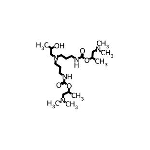 CC(O)CN(CCCNC(=O)OC(C)CN(C)C)CCCNC(=O)OC(C)CN(C)C